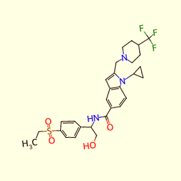 CCS(=O)(=O)c1ccc(C(CO)NC(=O)c2ccc3c(c2)cc(CN2CCC(C(F)(F)F)CC2)n3C2CC2)cc1